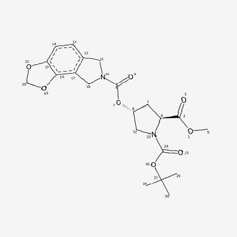 COC(=O)[C@@H]1C[C@@H](OC(=O)N2Cc3ccc4c(c3C2)OCO4)CN1C(=O)OC(C)(C)C